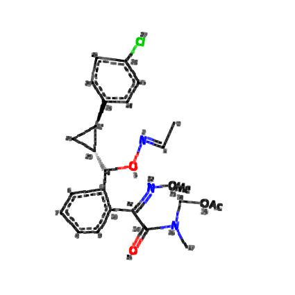 CC=NOC(c1ccccc1C(=NOC)C(=O)N(C)COC(C)=O)[C@@H]1C[C@H]1c1ccc(Cl)cc1